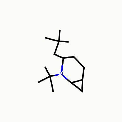 CC(C)(C)CC1CCC2CC2N1C(C)(C)C